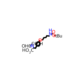 CC(C)(C)OC(=O)NCCCCCOc1ccc(CC(C(=O)O)N(C=O)C(=O)O)cc1